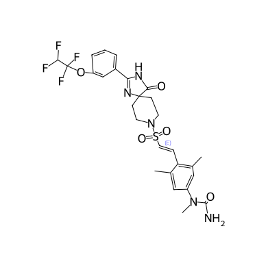 Cc1cc(N(C)C(N)=O)cc(C)c1/C=C/S(=O)(=O)N1CCC2(CC1)N=C(c1cccc(OC(F)(F)C(F)F)c1)NC2=O